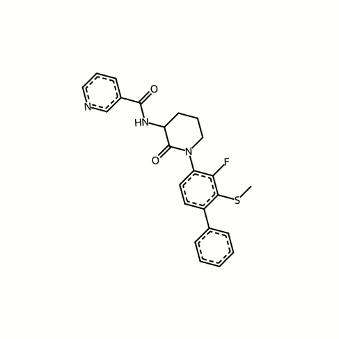 CSc1c(-c2ccccc2)ccc(N2CCCC(NC(=O)c3cccnc3)C2=O)c1F